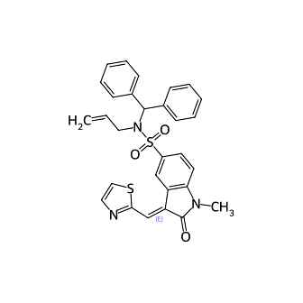 C=CCN(C(c1ccccc1)c1ccccc1)S(=O)(=O)c1ccc2c(c1)/C(=C\c1nccs1)C(=O)N2C